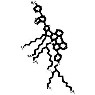 CCCCCCCCC(CCCCCC)COc1ccc(-c2cc3c4c5c2cccc5c2cccc5c6c(c(c4c52)n3CC(CCCCCC)CCCCCCCC)C(CCCCCCCC)(CCCCCCCC)c2cc(-c3ccc(-c4ccc(C)cc4)c4nsnc34)sc2-6)cc1